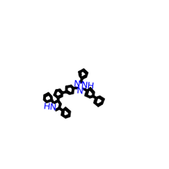 C1=CCC(C2NCC(c3ccccc3)CC2C2=CC(C3=CCC(C4=NC(C5=CCC(c6ccccc6)C=C5)NC(c5ccccc5)=N4)CC3)=CCC2)CC1